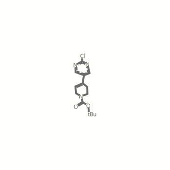 CC(C)(C)OC(=O)N1CC=C(c2cnc(Cl)nc2)CC1